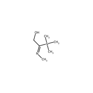 CN=C(CO)[Si](C)(C)C